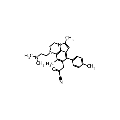 Cc1ccc(-c2c(CC(=O)C#N)c(C)c3c4c2cc(C)n4CCN3CCN(C)C)cc1